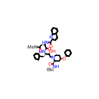 CNC(=O)C[C@H](NC(=O)c1ccc2ccccc2n1)C(=O)N[C@@H](Cc1ccccc1)[C@H](O)CN1CC[C@@H](Oc2ccccc2)C[C@H]1C(=O)NC(C)(C)C